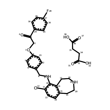 O=C(COc1ccc(CNc2c(Cl)ccc3c2CCNCC3)cc1)c1ccc(F)cc1.O=C(O)CCC(=O)O